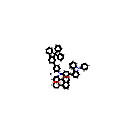 Cc1cc(-c2ccc3c(c2)C(c2ccccc2)(c2ccccc2)c2ccccc2-3)ccc1N(c1ccc(-c2cccc3c2c2ccccc2n3-c2ccccc2)cc1)c1ccccc1-c1cccc2cccc(C3CCCCC3)c12